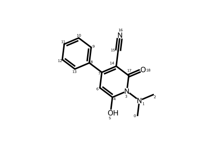 CN(C)n1c(O)cc(-c2ccccc2)c(C#N)c1=O